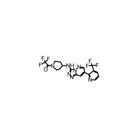 O=C(N1CCC(Nc2nnc3cc(-c4ncccc4C(F)(F)F)cnn23)CC1)C(F)(F)F